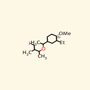 CCC1CC(C(C)OC(C)C(C)CI)CC[C@@H]1OC